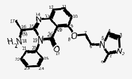 Cc1nccn1CCOc1cccc2nc([C@H](C)N)n(-c3ccccc3)c(=O)c12